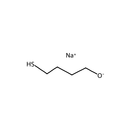 [Na+].[O-]CCCCS